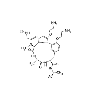 CCNCC(=O)N(C)[C@@H]1C(=O)N[C@@H](C)C(=O)N[C@H](C(=O)N[C@@H](C)C(C)=O)Cc2ccc(OCCN)c(c2)-c2cc1ccc2OCCN